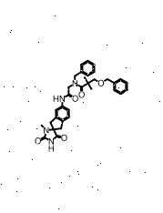 CN1C(=O)NC(=O)C12Cc1ccc(NC(=O)CN(Cc3ccccc3)C(=O)C(C)(C)COCc3ccccc3)cc1C2